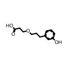 O=C(O)CCOCCCc1cccc(O)c1